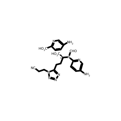 N#CCCn1nnnc1CC[C@@H](C(=O)O)N(C=O)c1ccc(N)cn1.Nc1ccc(C(=O)O)nc1